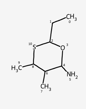 CCC1OC(N)C(C)C(C)S1